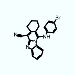 N#Cc1c2c(c(Nc3ccc(Br)cc3)n3c1nc1ccccc13)CCCC2